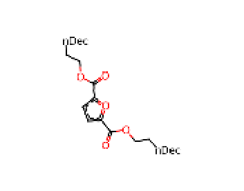 CCCCCCCCCCCCOC(=O)c1ccc(C(=O)OCCCCCCCCCCCC)o1